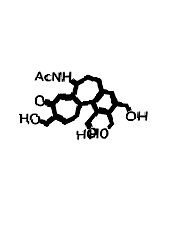 CC(=O)NC1CCc2cc(CO)c(CO)c(CO)c2C2CC=C(CO)C(=O)C=C12